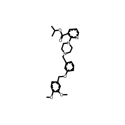 COc1ccc(COc2cccc(CN3CCN(c4ncccc4C(=O)OC(C)C)CC3)c2)cc1OC